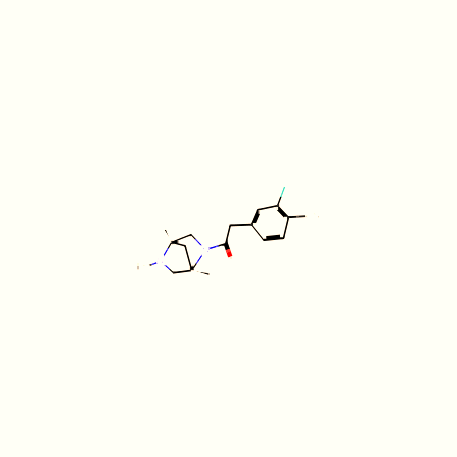 CC(C)N1C[C@@H]2C[C@H]1CN2C(=O)Cc1ccc(C#N)c(F)c1